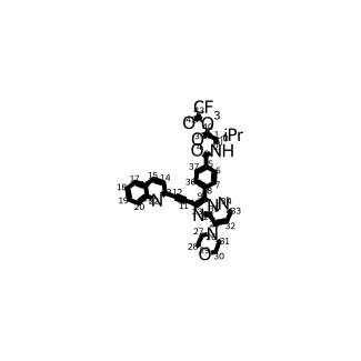 CC(C)[C@H](NC(=O)c1ccc(-c2c(C#Cc3ccc4ccccc4n3)nc3c(N4CCOCC4)ccnn23)cc1)C(=O)OC(=O)C(F)(F)F